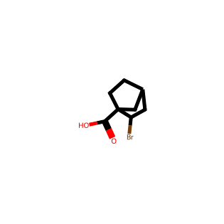 O=C(O)C12CCC(CC1Br)C2